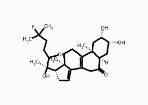 CC(C)(F)CCC(O)[C@](C)(O)[C@H]1CC=C2C3=C(CC[C@@]21C)[C@@]1(C)C[C@H](O)[C@H](O)C[C@H]1C(=O)C3